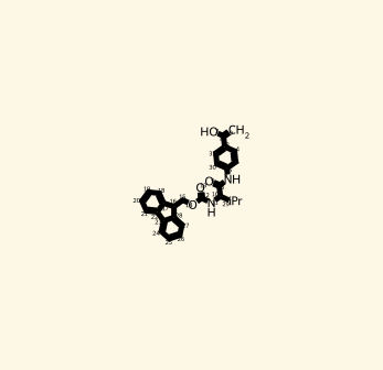 C=C(O)c1ccc(NC(=O)C(NC(=O)OCC2c3ccccc3-c3ccccc32)C(C)C)cc1